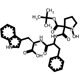 CC(C)(C)OC(=O)C1(C(=O)NC(Cc2ccccc2)C(=O)N[C@H](Cc2c[nH]c3ccccc23)C(=O)O)CCCN1O